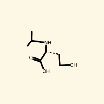 CC(C)N[C@H](CCO)C(=O)O